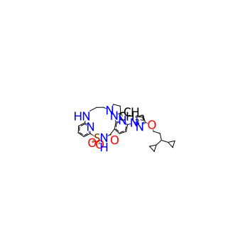 CC1(C)CCN2CCCNc3cccc(n3)S(=O)(=O)NC(=O)c3ccc(-n4ccc(OCCC(C5CC5)C5CC5)n4)nc3N21